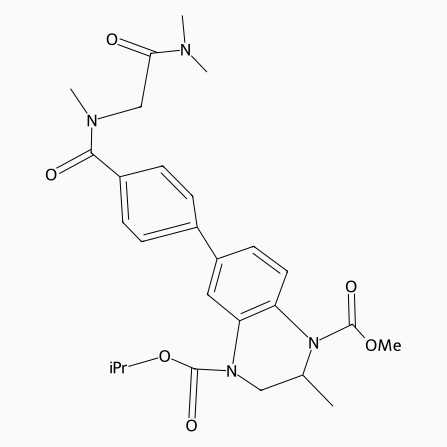 COC(=O)N1c2ccc(-c3ccc(C(=O)N(C)CC(=O)N(C)C)cc3)cc2N(C(=O)OC(C)C)CC1C